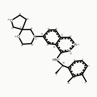 Cc1cccc([C@@H](C)Nc2nncc3ccc(N4CCOC5(CCOC5)C4)cc23)c1C